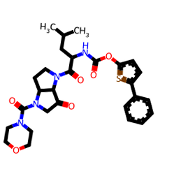 CC(C)CC(NC(=O)Oc1ccc(-c2ccccc2)s1)C(=O)N1CCC2C1C(=O)CN2C(=O)N1CCOCC1